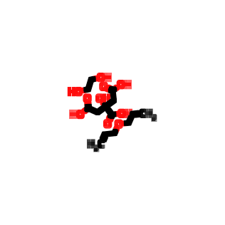 C=CCOCC=C.O=C(O)CC(O)(CC(=O)O)C(=O)O.OCCO